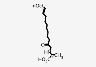 CCCCCCCCC=CCCCCCCCC(=O)CN[C@@H](C)C(=O)O